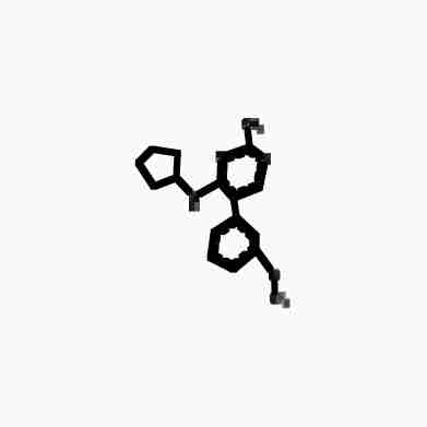 Cc1ncc(-c2cccc(OC(F)(F)F)c2)c(NC2CCCC2)n1